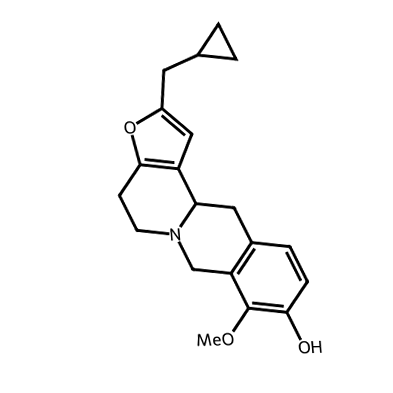 COc1c(O)ccc2c1CN1CCc3oc(CC4CC4)cc3C1C2